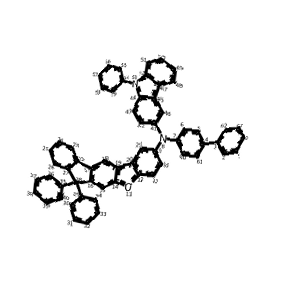 c1ccc(-c2ccc(N(c3ccc4oc5cc6c(cc5c4c3)-c3ccccc3C6(c3ccccc3)c3ccccc3)c3ccc4c(c3)c3ccccc3n4-c3ccccc3)cc2)cc1